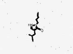 CCCCn1[nH]cc(CC(C)C)c1=O